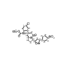 CC(C)(C)OC(=O)Nc1ccc(Cl)cc1-c1cc2n(c(=O)c1)C(c1cc(-c3ccc([N+](=O)[O-])cc3)no1)CC2